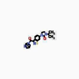 CC(C)N1CCN(c2ccc3c(C(=O)N4CCN5CCC4CC5)nsc3c2)C1=O